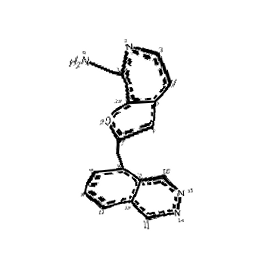 Nc1nccc2cc(-c3cccc4cnncc34)oc12